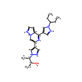 CCC(CC)n1cc(-c2nc(-c3cnn([C@H](C)[C@H](C)O)c3)cn3nccc23)cn1